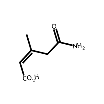 CC(=CC(=O)O)CC(N)=O